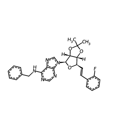 CC1(C)O[C@@H]2[C@H](O1)[C@@H](C=Cc1ccccc1F)O[C@H]2n1cnc2c(NCc3ccccc3)ncnc21